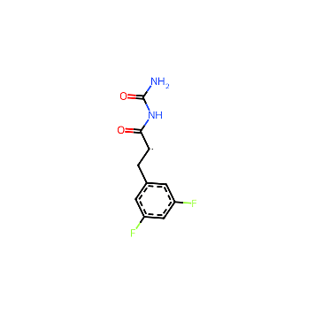 NC(=O)NC(=O)[CH]Cc1cc(F)cc(F)c1